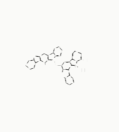 Cn1c2c(C(C)(C)C)cccc2c2cc(Cn3c4ccccc4c4cc5oc6ccccc6c5c(C(C)(C)C)c43)c3oc4ccccc4c3c21